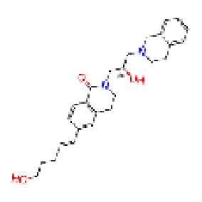 O=C1c2ccc(C=CCCCO)cc2CCN1C[C@H](O)CN1CCc2ccccc2C1